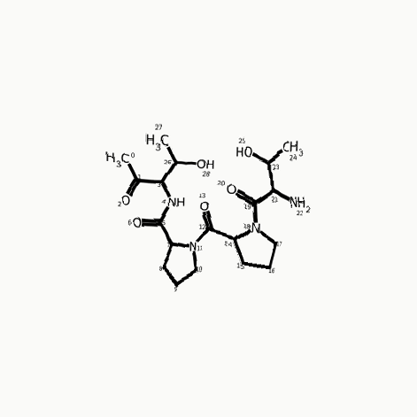 CC(=O)C(NC(=O)C1CCCN1C(=O)C1CCCN1C(=O)C(N)C(C)O)C(C)O